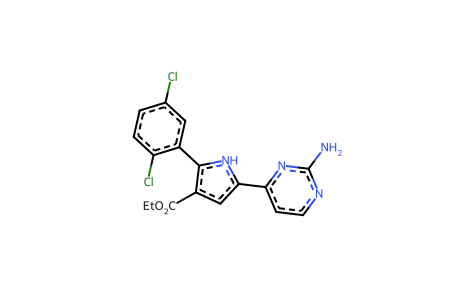 CCOC(=O)c1cc(-c2ccnc(N)n2)[nH]c1-c1cc(Cl)ccc1Cl